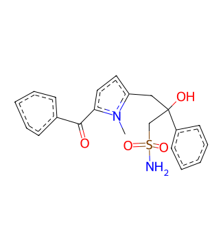 Cn1c(CC(O)(CS(N)(=O)=O)c2ccccc2)ccc1C(=O)c1ccccc1